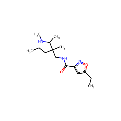 CCCC(C)(CNC(=O)c1cc(CC)on1)C(C)NC